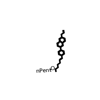 C=CCc1ccc2cc(-c3ccc(C=CCCCC(C)OCCCCC)cc3)ccc2c1